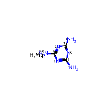 Nc1nc(N)nc(N)n1.[MgH2]